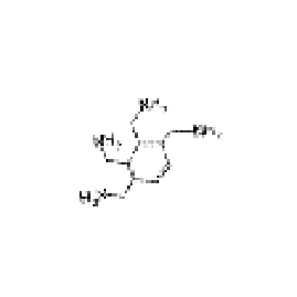 NCc1ccc(CN)c(CN)c1CN